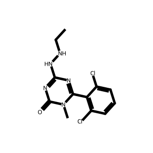 CCNNc1nc(-c2c(Cl)cccc2Cl)n(C)c(=O)n1